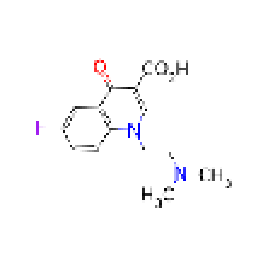 CN(C)CCn1cc(C(=O)O)c(=O)c2cc(I)ccc21